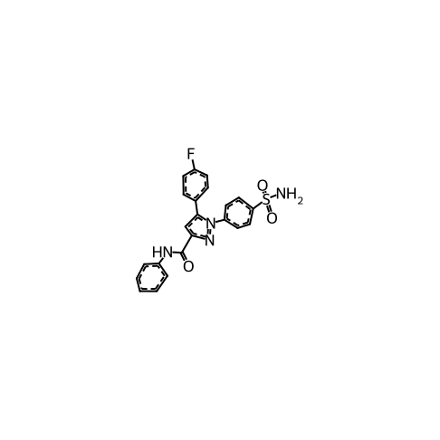 NS(=O)(=O)c1ccc(-n2nc(C(=O)Nc3ccccc3)cc2-c2ccc(F)cc2)cc1